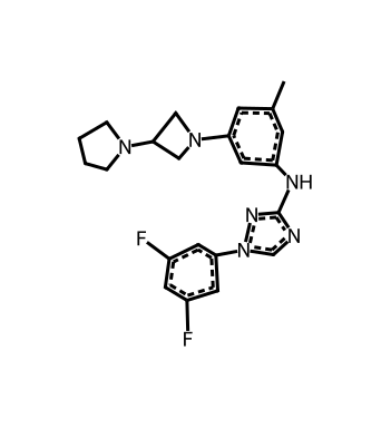 Cc1cc(Nc2ncn(-c3cc(F)cc(F)c3)n2)cc(N2CC(N3CCCC3)C2)c1